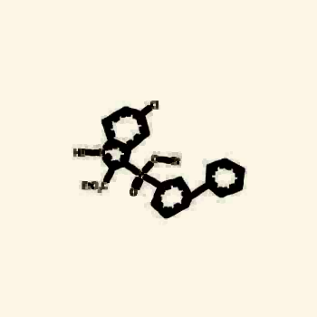 CCOC(=O)c1c(P(=O)(OCC)c2cccc(-c3ccccc3)c2)c2cc(Cl)ccc2n1S